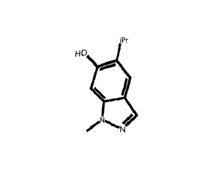 CC(C)c1cc2cnn(C)c2cc1O